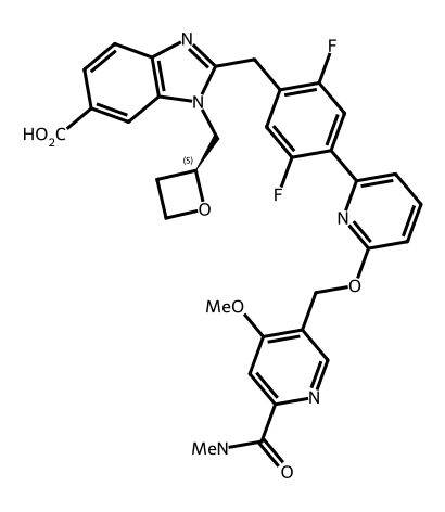 CNC(=O)c1cc(OC)c(COc2cccc(-c3cc(F)c(Cc4nc5ccc(C(=O)O)cc5n4C[C@@H]4CCO4)cc3F)n2)cn1